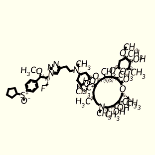 CC[C@H]1OC(=O)[C@H](C)[C@@H](O[C@H]2C[C@@](C)(OC)[C@@H](O)[C@H](C)O2)[C@H](C)[C@@H](O[C@H]2C[C@@H](N(C)CCc3cn([C@H](CF)[C@H](OC)c4ccc([S+]([O-])C5CCCC5)cc4)nn3)C[C@@H](C)O2)[C@](C)(O)C[C@@H](C)CN(C)[C@H](C)[C@@H](O)[C@]1(C)O